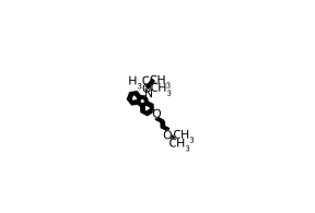 CC(C)OC/C=C/COc1ccc2c(c1)/C(=N/OC(C)(C)C)c1ccccc1-2